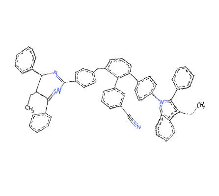 CCc1c(-c2ccccc2)n(-c2ccc(-c3cccc(-c4ccc(C5=NC(c6ccccc6)C(CC)C(c6ccccc6)=N5)cc4)c3-c3cccc(C#N)c3)cc2)c2ccccc12